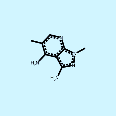 Cc1cnc2c(c(N)nn2C)c1N